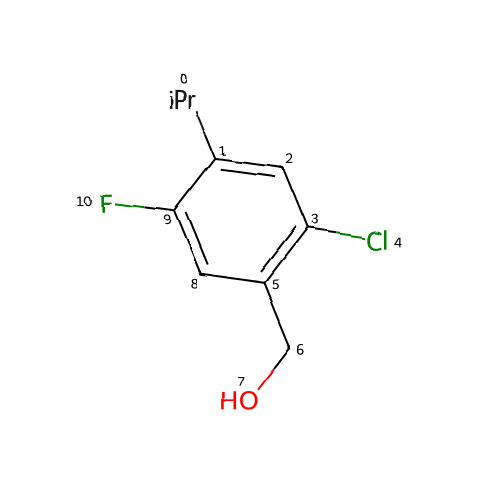 CC(C)c1cc(Cl)c(CO)cc1F